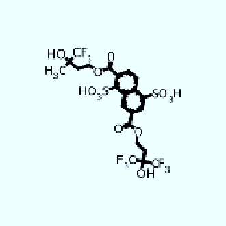 CC(O)(CCOC(=O)c1ccc2c(S(=O)(=O)O)cc(C(=O)OCCC(O)(C(F)(F)F)C(F)(F)F)cc2c1S(=O)(=O)O)C(F)(F)F